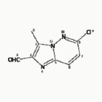 Cc1c(C=O)nc2ccc(Cl)nn12